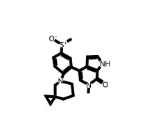 Cn1cc(-c2cc([S+](C)[O-])ccc2N2CCCC3(CC3)C2)c2cc[nH]c2c1=O